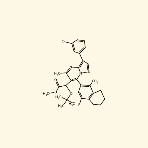 COC(=O)C(OC(C)(C)C)c1c(C)nc2c(-c3cccc(Cl)c3)cnn2c1-c1cc(F)c2c(c1C)CCCC2